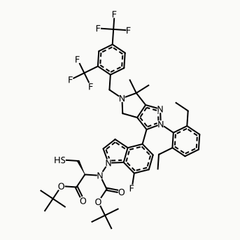 CCc1cccc(CC)c1-n1nc2c(c1-c1ccc(F)c3c1ccn3N(C(=O)OC(C)(C)C)[C@H](CS)C(=O)OC(C)(C)C)CN(Cc1ccc(C(F)(F)F)cc1C(F)(F)F)C2(C)C